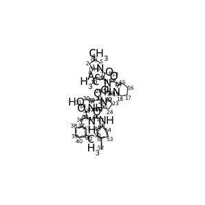 CC(=O)[C@@H]1C[C@H](C)CN1C(=O)[C@H](C)NC(=O)[C@@H]1CCCCN1C(=O)[C@@H]1CCCN1C(=O)[C@H](CO)NC(=O)[C@H](Cc1cccc(C)c1)NC(=O)Nc1ccc(I)cc1